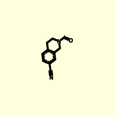 N#Cc1ccc2c(c1)CN([C]=O)CC2